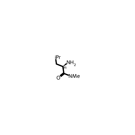 CNC(=O)[C@H](N)CC(C)C